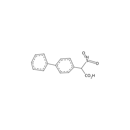 O=C(O)C(c1ccc(-c2ccccc2)cc1)[SH](=O)=O